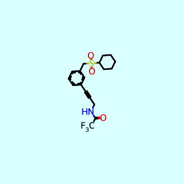 O=C(NCC#Cc1cccc(CS(=O)(=O)C2CCCCC2)c1)C(F)(F)F